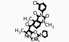 Cc1nn(C)c(OC(=O)N2CCCC2)c1C(=O)c1ccc2c(c1C)c(=O)n(-c1cccc(Cl)c1)c(=O)n2C